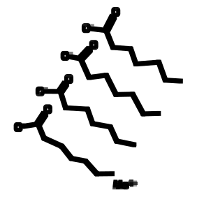 CCCCCCC(=O)[O-].CCCCCCC(=O)[O-].CCCCCCC(=O)[O-].CCCCCCC(=O)[O-].[Mo+4]